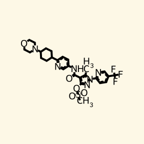 Cc1c(C(=O)Nc2ccc(C3CCC(N4CCOCC4)CC3)nc2)c(OS(C)(=O)=O)nn1-c1ccc(C(F)(F)F)cn1